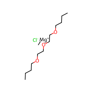 CCCCOCCOCCOCCCC.[CH3][Mg+].[Cl-]